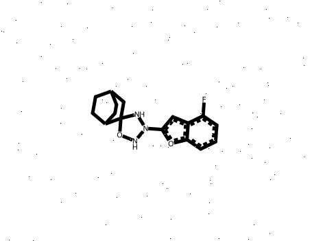 Fc1cccc2oc(N3NOC4(CC5CCC4CC5)N3)cc12